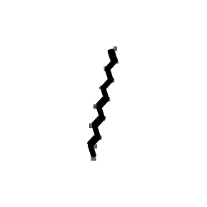 C=CCCCC=CC=CC=CC